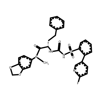 CN(C(=O)[C@H](CCc1ccccc1)NC(=O)NS(=O)(=O)c1ccccc1-c1ccc(F)nc1)c1ccc2c(c1)OCO2